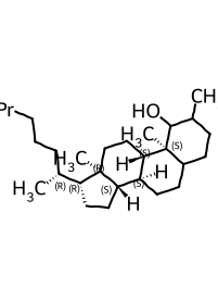 CC(C)CCC[C@@H](C)[C@H]1CC[C@H]2[C@@H]3CCC4CCC(C)C(O)[C@]4(C)[C@H]3CC[C@]12C